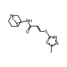 Cc1nnc(SC=CC(=O)NC2CN3CCC2CC3)s1